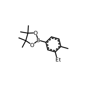 CCc1cc(B2OC(C)(C)C(C)(C)O2)ccc1C